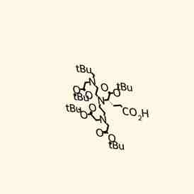 CC(C)(C)CN(CCN(CCN(CC(=O)OC(C)(C)C)CC(=O)OC(C)(C)C)[C@@H](CCC(=O)O)C(=O)OC(C)(C)C)CC(=O)OC(C)(C)C